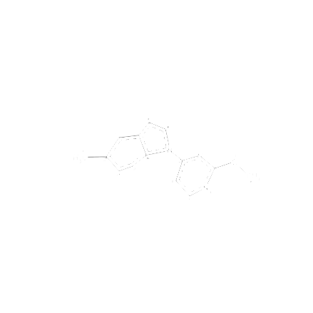 CSc1nccc(-n2ccc3cc(C)ccc32)n1